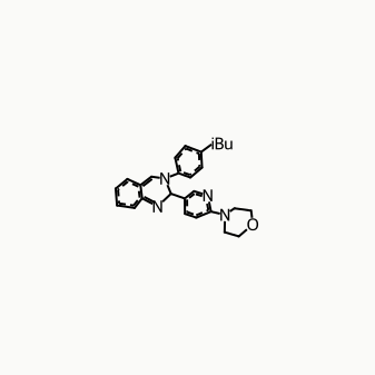 CCC(C)c1ccc(N2C=c3ccccc3=NC2c2ccc(N3CCOCC3)nc2)cc1